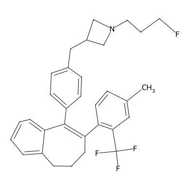 Cc1ccc(C2=C(c3ccc(CC4CN(CCCF)C4)cc3)c3ccccc3CCC2)c(C(F)(F)F)c1